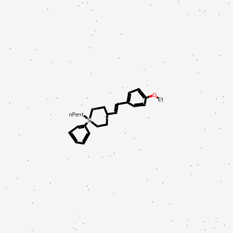 CCCCC[Si]1(c2ccccc2)CCC(/C=C/c2ccc(OCC)cc2)CC1